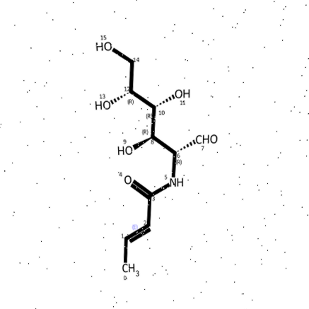 C/C=C/C(=O)N[C@@H](C=O)[C@@H](O)[C@@H](O)[C@H](O)CO